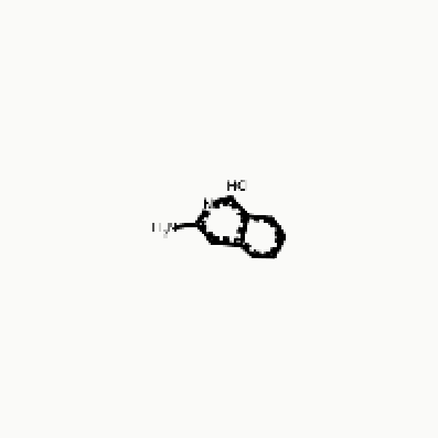 Cl.Nc1cc2ccccc2cn1